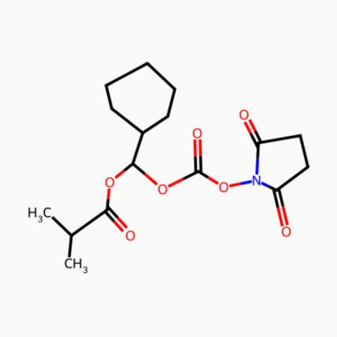 CC(C)C(=O)OC(OC(=O)ON1C(=O)CCC1=O)C1CCCCC1